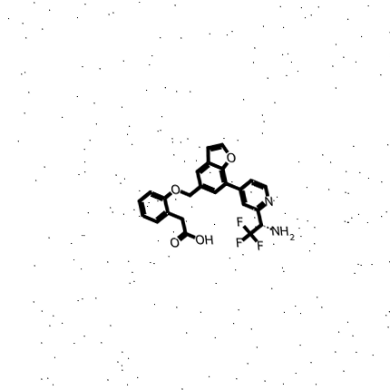 N[C@@H](c1cc(-c2cc(COc3ccccc3CC(=O)O)cc3ccoc23)ccn1)C(F)(F)F